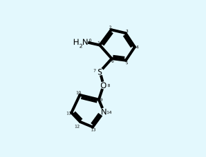 Nc1ccccc1SOc1ccccn1